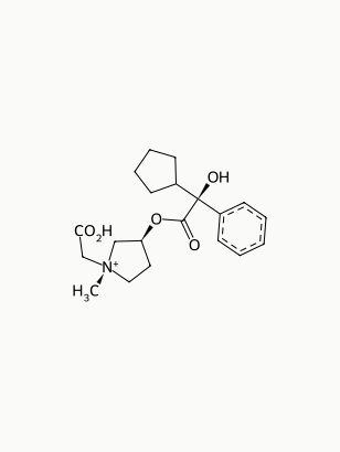 C[N@+]1(CC(=O)O)CC[C@H](OC(=O)[C@@](O)(c2ccccc2)C2CCCC2)C1